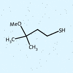 COC(C)(C)CCS